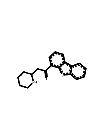 O=C(CC1CCCCN1)c1cccc2c1sc1ccccc12